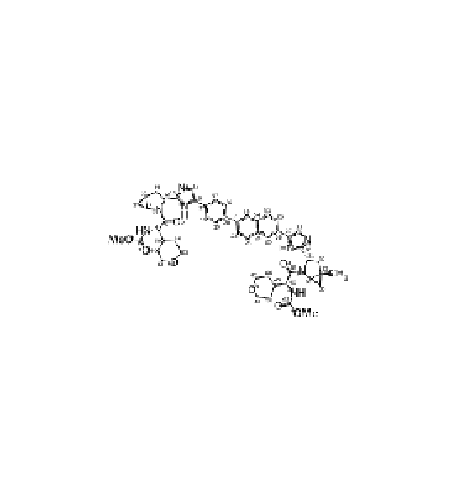 COC(=O)N[C@H](C(=O)N1C2CC2C[C@H]1c1ncc(-c2ccc(-c3ccc4cc(-c5cnc([C@@H]6C[C@]7(C)CC7N6C(=O)[C@@H](NC(=O)OC)C6CCOCC6)[nH]5)ccc4c3)cc2)[nH]1)C1CCOCC1